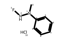 CN(NF)c1ccccc1.Cl